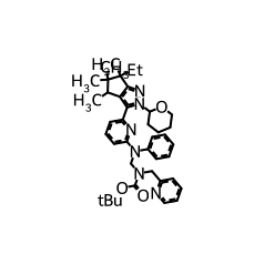 CCC1(C)c2nn(C3CCCCO3)c(-c3cccc(N(CN(Cc4ccccn4)C(=O)OC(C)(C)C)c4ccccc4)n3)c2C(C)C1(C)C